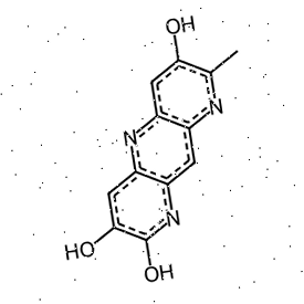 Cc1nc2cc3nc(O)c(O)cc3nc2cc1O